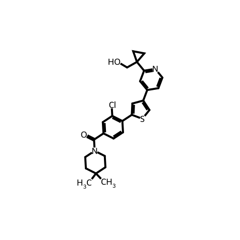 CC1(C)CCN(C(=O)c2ccc(-c3cc(-c4ccnc(C5(CO)CC5)c4)cs3)c(Cl)c2)CC1